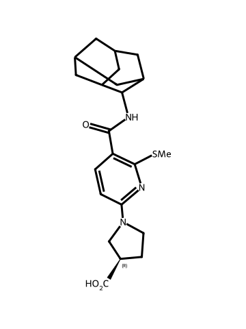 CSc1nc(N2CC[C@@H](C(=O)O)C2)ccc1C(=O)NC1C2CC3CC(C2)CC1C3